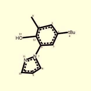 Cc1cc(C(C)(C)C)cc(-n2cccn2)c1O